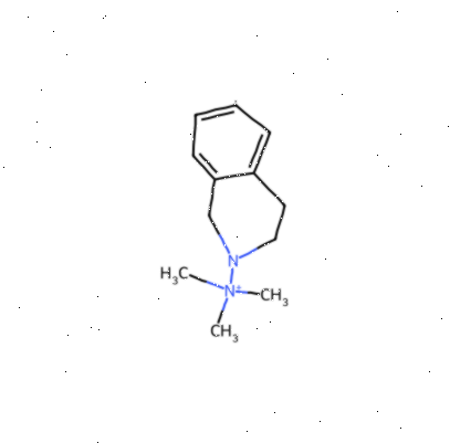 C[N+](C)(C)N1CCc2c[c]ccc2C1